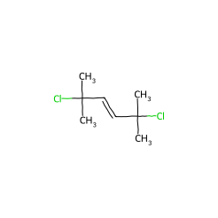 CC(C)(Cl)/C=C/C(C)(C)Cl